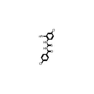 CCCc1cc(Cl)ccc1NC(=S)NC(=O)c1ccc(Cl)cc1